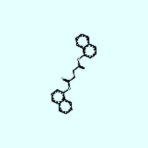 O=C(CCC(=O)Oc1cccc2ccccc12)Oc1cccc2ccccc12